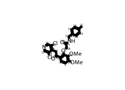 COc1ccc(C(=O)Cc2c(Cl)cncc2Cl)c(OCC(=O)NCc2ccc(C)cc2)c1OC